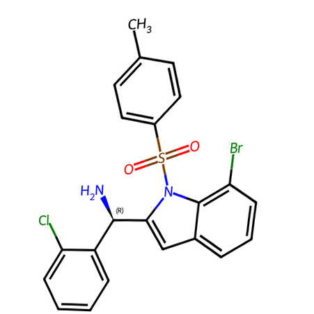 Cc1ccc(S(=O)(=O)n2c([C@H](N)c3ccccc3Cl)cc3cccc(Br)c32)cc1